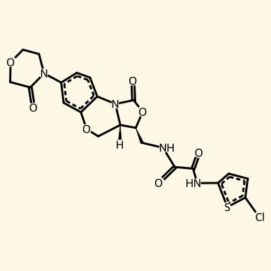 O=C(NC[C@@H]1OC(=O)N2c3ccc(N4CCOCC4=O)cc3OC[C@@H]12)C(=O)Nc1ccc(Cl)s1